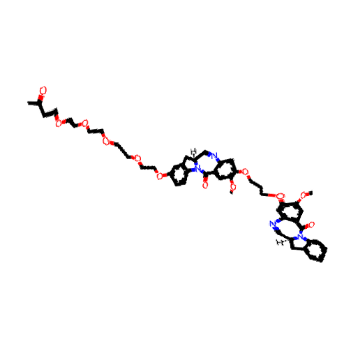 COc1cc2c(cc1OCCCOc1cc3c(cc1OC)C(=O)N1c4ccc(OCCOCCOCCOCCOCCC(C)=O)cc4C[C@H]1C=N3)N=C[C@@H]1Cc3ccccc3N1C2=O